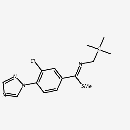 CS/C(=N\C[Si](C)(C)C)c1ccc(-n2cncn2)c(Cl)c1